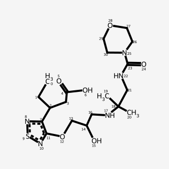 CCC(CC(=O)O)c1nsnc1OCC(O)CNC(C)(C)CNC(=O)N1CCOCC1